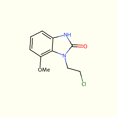 COc1cccc2[nH]c(=O)n(CCCl)c12